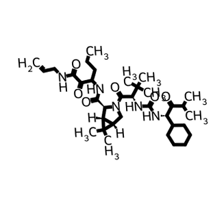 C=CCNC(=O)C(=O)C(CCC)NC(=O)[C@@H]1[C@@H]2[C@H](CN1C(=O)[C@@H](NC(=O)N[C@H](C(=O)C(C)C)C1CCCCC1)C(C)(C)C)C2(C)C